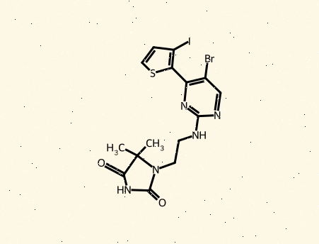 CC1(C)C(=O)NC(=O)N1CCNc1ncc(Br)c(-c2sccc2I)n1